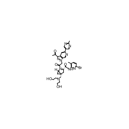 CC(=O)c1nn(CC(=O)N2[C@H](C(=O)Nc3nc(Br)ccc3C)C[C@@]3(CN(CCO)CCO)C[C@@H]23)c2cnc(-c3cnc(C)nc3)cc12